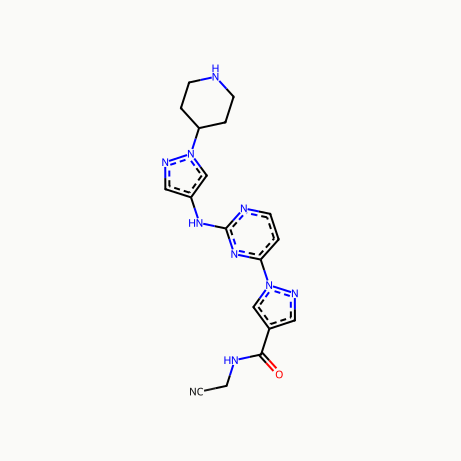 N#CCNC(=O)c1cnn(-c2ccnc(Nc3cnn(C4CCNCC4)c3)n2)c1